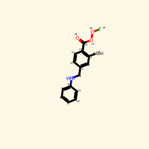 CC(C)(C)c1cc(CNc2ccccc2)ccc1C(=O)OOF